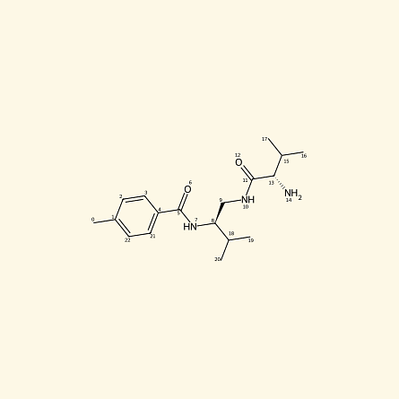 Cc1ccc(C(=O)N[C@@H](CNC(=O)[C@@H](N)C(C)C)C(C)C)cc1